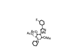 CO[C@H]1C[SH](c2ccccc2)[C@H](COC(C)=O)[C@H](OC(C)=O)[C@H]1n1cc(-c2cccc(F)c2)nn1